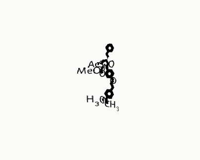 COC(=O)CN(C(=O)[C@@H](CCc1ccccc1)CSC(C)=O)c1ccc(OCCc2ccc(N(C)C)cc2)cc1